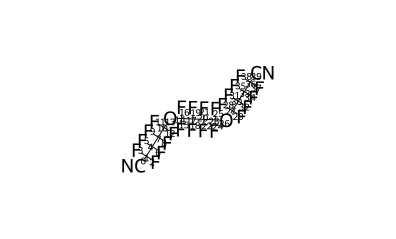 N#CC(F)(F)C(F)(F)C(F)(F)C(F)(F)OC(F)(F)C(F)(F)C(F)(F)C(F)(F)OC(F)(F)C(F)(F)C(F)(F)C(F)(F)C#N